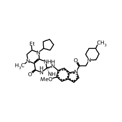 CCC1CN(C)C2=C(N[C@@](N)(Nc3cc4c(ccn4C(=O)CN4CCC(C)CC4)cc3OC)NC2=O)N1C1CCCC1